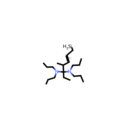 CCCN(CCC)C(CC)(C(C)/C=C/C[SiH3])N(CCC)CCC